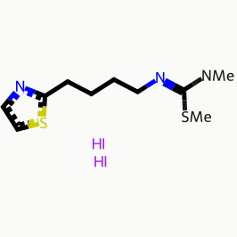 CNC(=NCCCCc1nccs1)SC.I.I